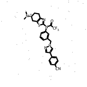 CN(C)[C@H]1CCc2nc(N(C(=O)C(F)(F)F)c3cccc(Cn4cc(-c5ccc(C#N)cc5)cn4)c3)sc2C1